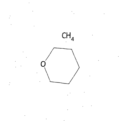 C.C1CCOCC1